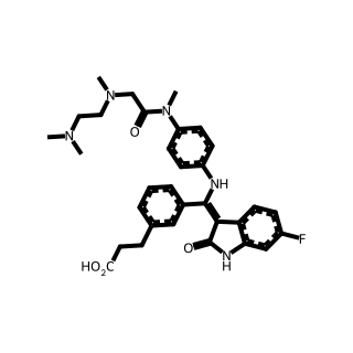 CN(C)CCN(C)CC(=O)N(C)c1ccc(NC(=C2C(=O)Nc3cc(F)ccc32)c2cccc(CCC(=O)O)c2)cc1